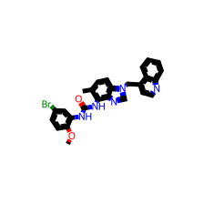 COc1ccc(Br)cc1NC(=O)Nc1c(C)ccc2c1ncn2Cc1ccnc2ccccc12